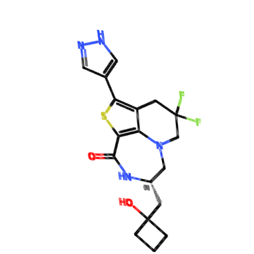 O=C1N[C@@H](CC2(O)CCC2)CN2CC(F)(F)Cc3c(-c4cn[nH]c4)sc1c32